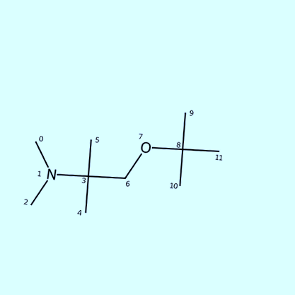 CN(C)C(C)(C)COC(C)(C)C